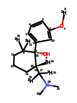 [2H]Oc1cccc([C@]2(O)C([2H])([2H])CCC[C@@]2([2H])C([2H])([2H])N(C)C)c1